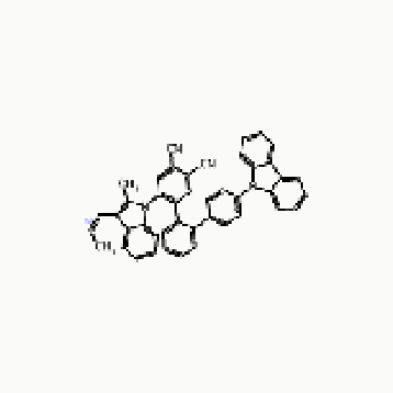 C/C=C\c1c(C)n(-c2cc(C#N)c(C#N)cc2-c2ccccc2-c2ccc(-n3c4ccccc4c4ccccc43)cc2)c2ccccc12